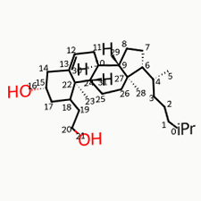 CC(C)CCC[C@@H](C)[C@H]1CC[C@H]2[C@@H]3CC=C4C[C@@H](O)CC(CCO)[C@]4(C)[C@H]3CC[C@]12C